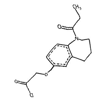 CCC(=O)N1CCCc2cc(OCC(=O)Cl)ccc21